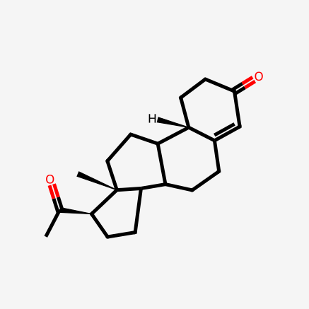 CC(=O)[C@@H]1CCC2C3CCC4=CC(=O)CC[C@H]4C3CC[C@]21C